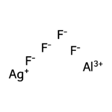 [Ag+].[Al+3].[F-].[F-].[F-].[F-]